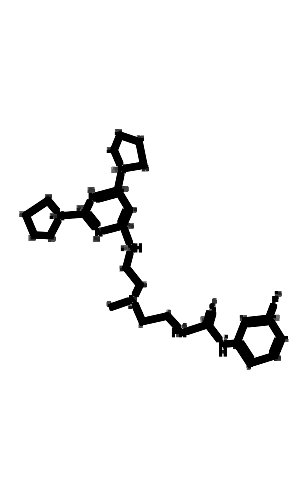 CN(CCNC(=S)Nc1cccc(F)c1)CCNc1cc(N2CCCC2)nc(N2CCCC2)n1